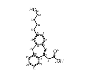 O=C(O)CC1=Cc2ccc(CCCCO)cc2Cc2ccccc21